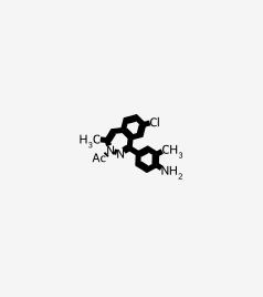 CC(=O)N1N=C(c2ccc(N)c(C)c2)c2cc(Cl)ccc2C=C1C